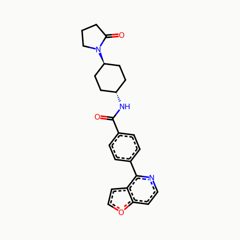 O=C(N[C@H]1CC[C@H](N2CCCC2=O)CC1)c1ccc(-c2nccc3occc23)cc1